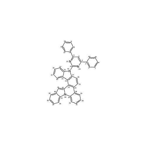 c1ccc(-c2cc(-c3ccccc3)nc(-n3c4ccccc4c4c5c(ccc43)c3ccccc3n3c4ccccc4cc53)n2)cc1